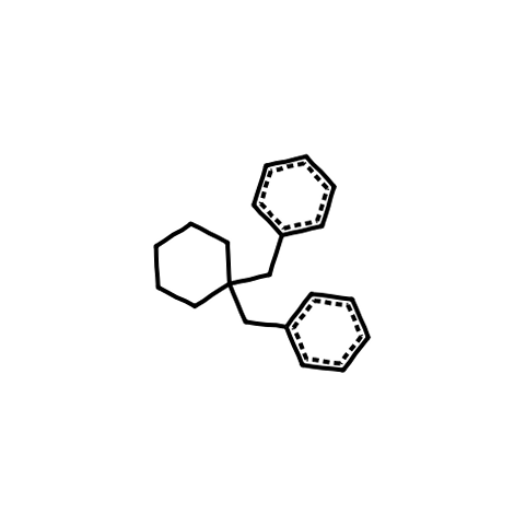 c1ccc(CC2(Cc3ccccc3)CCCCC2)cc1